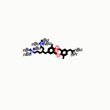 CCCCC(CCC)Cc1cc(C)c2c(c1)C1Oc3c(C)cc(CC(CCC[N+](CCCC)(CCCC)CCCC)CC[N+](CCCC)(CCCC)CCCC)cc3C(O2)O1